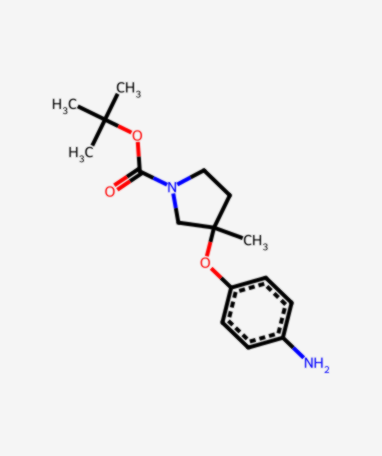 CC(C)(C)OC(=O)N1CCC(C)(Oc2ccc(N)cc2)C1